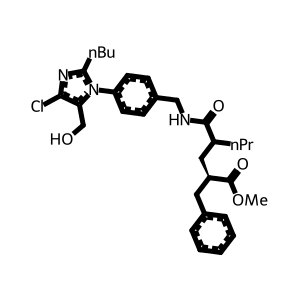 CCCCc1nc(Cl)c(CO)n1-c1ccc(CNC(=O)C(CCC)C[C@H](Cc2ccccc2)C(=O)OC)cc1